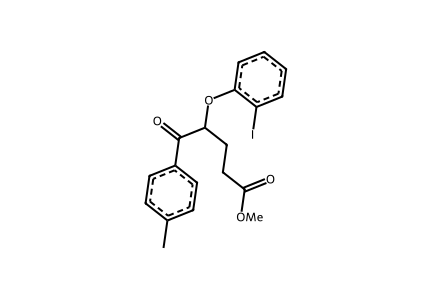 COC(=O)CCC(Oc1ccccc1I)C(=O)c1ccc(C)cc1